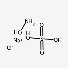 NO.O=S(=O)(O)O.[Cl-].[Na+]